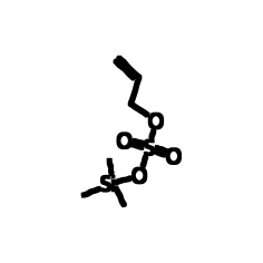 C=CCOS(=O)(=O)O[Si](C)(C)C